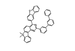 C[Si]1(C)c2ccccc2-c2c1ccc1c(-c3ccc4sc5ccccc5c4c3)nc(-c3cccc(-c4cccc(-c5ccccc5)c4)c3)nc21